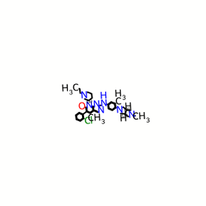 CCCN1CCC[C@H](n2c(=O)c(-c3ccccc3Cl)c(C)c3cnc(Nc4ccc(N5C[C@H]6CN(C)C[C@H]6C5)c(C)c4)nc32)C1